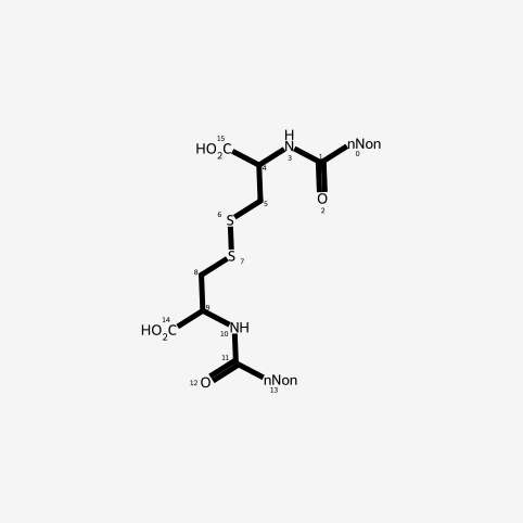 CCCCCCCCCC(=O)NC(CSSCC(NC(=O)CCCCCCCCC)C(=O)O)C(=O)O